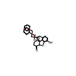 O=C1CC[C@@]2(OCCCc3ccccc3)[C@H]3Cc4ccc(O)c5c4[C@@]2(CCN3CCc2ccccc2)C1O5